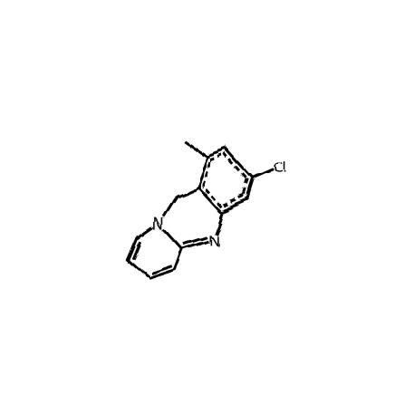 Cc1cc(Cl)cc2c1CN1C=CC=CC1=N2